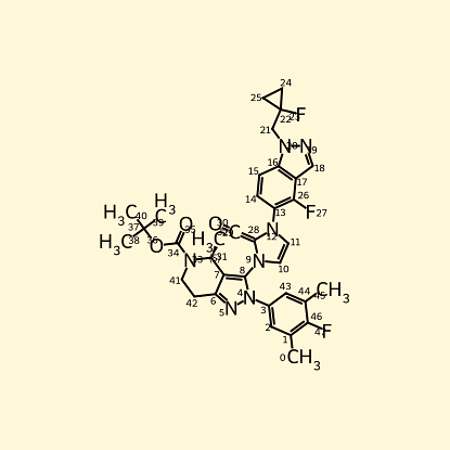 Cc1cc(-n2nc3c(c2N2C=CN(c4ccc5c(cnn5CC5(F)CC5)c4F)C2=C=O)[C@H](C)N(C(=O)OC(C)(C)C)CC3)cc(C)c1F